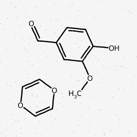 C1=COC=CO1.COc1cc(C=O)ccc1O